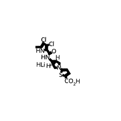 Cc1[nH]c(C(=O)NC2[C@H]3CN(c4ccc(C(=O)O)s4)C[C@@H]23)c(Cl)c1Cl.[LiH]